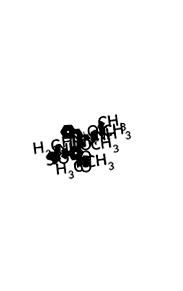 CC[C@@H](C)NC(=O)[C@H](C)NC[C@H](Cc1ccccc1)NC(=O)c1cc(C(=O)NC(C)c2ccsc2)cc(N(C)S(C)(=O)=O)c1